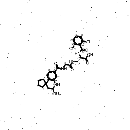 NC1CC2(CCCC2)c2ccc(C(=O)NCC(=O)NC[C@H](NC(=O)c3c(Cl)cccc3Cl)C(=O)O)cc2N1